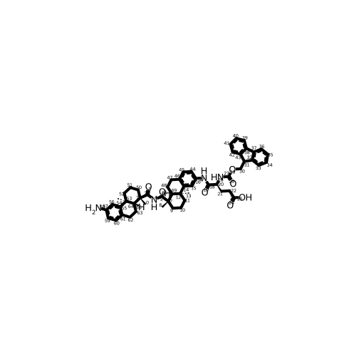 C[C@]1(C(=O)NC(=O)[C@@]2(C)CCC[C@]3(C)c4cc(NC(=O)[C@H](CCC(=O)O)NC(=O)OCC5c6ccccc6-c6ccccc65)ccc4CC[C@@H]23)CCC[C@]2(C)c3cc(N)ccc3CC[C@@H]12